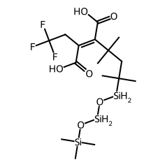 CC(C)(CC(C)(C)C(C(=O)O)=C(CC(F)(F)F)C(=O)O)[SiH2]O[SiH2]O[Si](C)(C)C